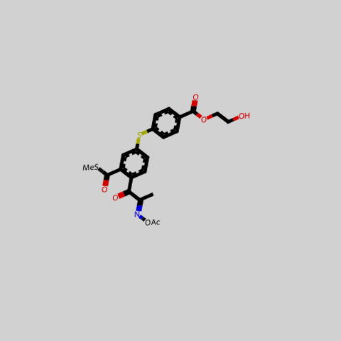 CSC(=O)c1cc(Sc2ccc(C(=O)OCCO)cc2)ccc1C(=O)/C(C)=N/OC(C)=O